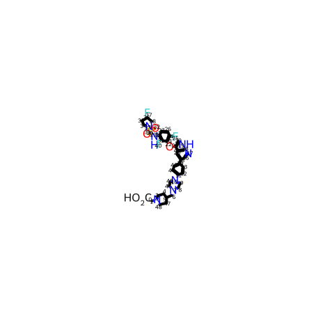 O=C(O)CN1CCC(CN2CCN(c3ccc(-c4cnc5[nH]cc(Oc6c(F)ccc(NS(=O)(=O)N7CC[C@@H](F)C7)c6F)c5c4)cc3)CC2)CC1